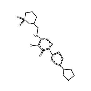 O=c1c(Cl)c(NCC2CCCS(=O)(=O)C2)cnn1-c1ccc(C2CCCC2)cc1